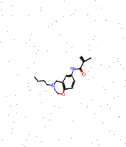 C=C(C)C(=O)Nc1ccc2c(c1)CN(CCCC)CO2